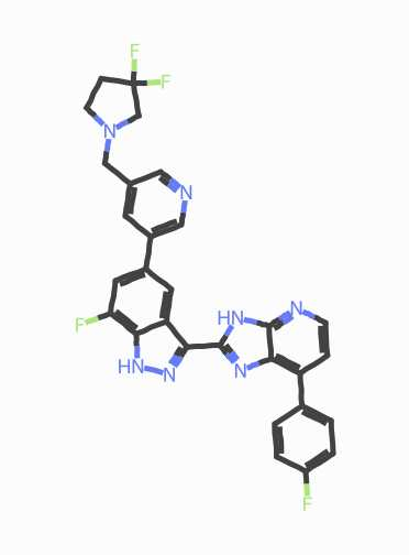 Fc1ccc(-c2ccnc3[nH]c(-c4n[nH]c5c(F)cc(-c6cncc(CN7CCC(F)(F)C7)c6)cc45)nc23)cc1